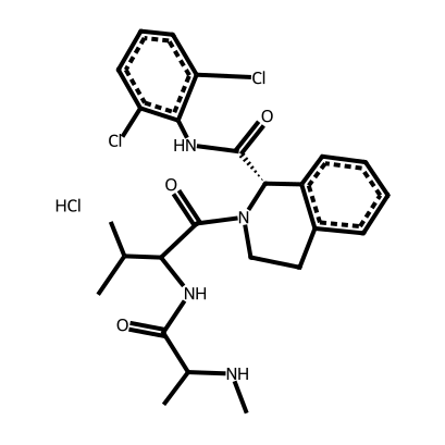 CNC(C)C(=O)NC(C(=O)N1CCc2ccccc2[C@H]1C(=O)Nc1c(Cl)cccc1Cl)C(C)C.Cl